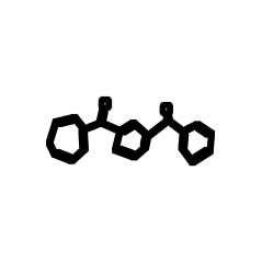 O=C(C1=CC=CCC=C1)c1cccc(C(=O)c2ccccc2)c1